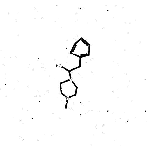 CN1CCN(C(O)Cc2c[c]ccc2)CC1